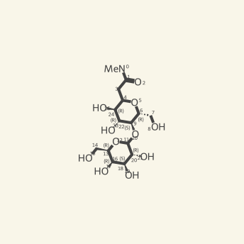 CNC(=O)CC1O[C@H](CO)[C@@H](OC2O[C@H](CO)[C@H](O)[C@H](O)[C@H]2O)[C@H](O)[C@H]1O